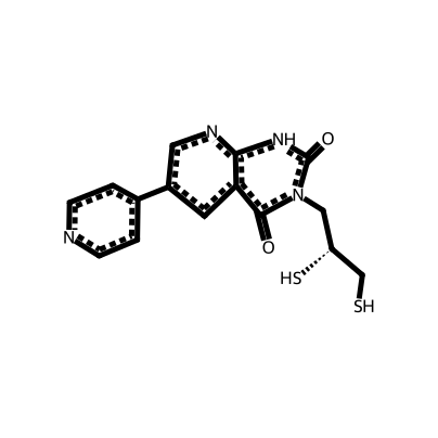 O=c1[nH]c2ncc(-c3ccncc3)cc2c(=O)n1C[C@@H](S)CS